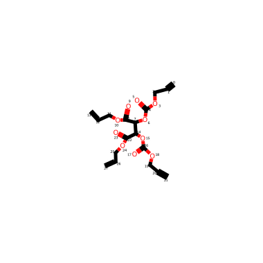 C#CCOC(=O)OC(C(=O)OCC=C)C(OC(=O)OCC#C)C(=O)OCC=C